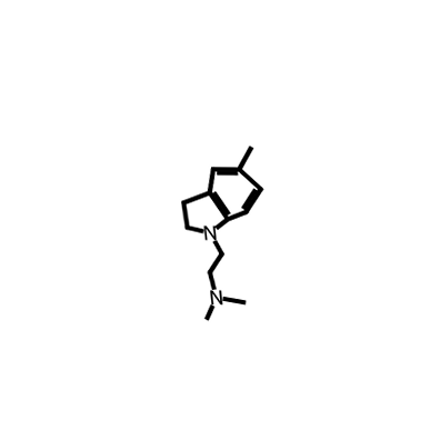 Cc1ccc2c(c1)CCN2CCN(C)C